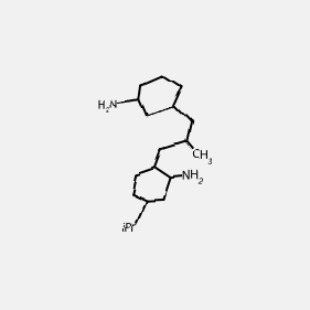 CC(CC1CCCC(N)C1)CC1CCC(C(C)C)CC1N